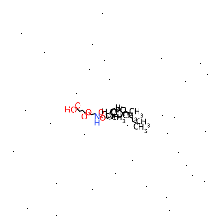 CC(C)CCC[C@@H](C)C1CC[C@H]2[C@]3(C)CC=C4C[C@@H](OC(=O)NCCOC(=O)CCC(=O)O)CC[C@]4(C)[C@H]3CC[C@]12C